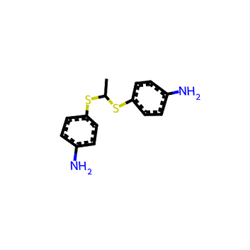 CC(Sc1ccc(N)cc1)Sc1ccc(N)cc1